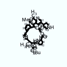 CCn1c(-c2cc(C3CCNCC3)cnc2[C@H](C)OC)c2c3cc(ccc31)-c1csc(n1)[C@@H](C)[C@H](NC(=O)OC(C)(C)C)C(=O)N1CCC[C@H](N1)C(=O)OCC(C)(C)C2